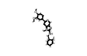 COc1ccc(-c2cc3c(cn2)nc(NCc2ccccc2F)n3C)cc1OC